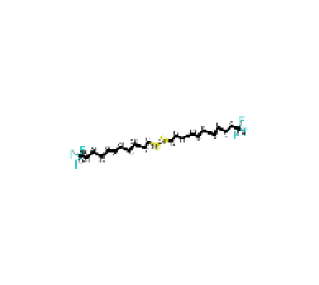 FC(F)(F)CCCCCCCCCCSSCCCCCCCCCCC(F)(F)F